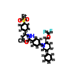 CCS(=O)(=O)c1ccc(C(CC#N)NC(=O)c2ccc(N3C[C@@H](c4ccccc4)CC[C@H]3COC(F)F)cc2)cc1